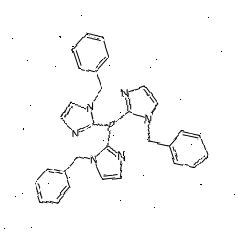 c1ccc(Cn2ccnc2P(c2nccn2Cc2ccccc2)c2nccn2Cc2ccccc2)cc1